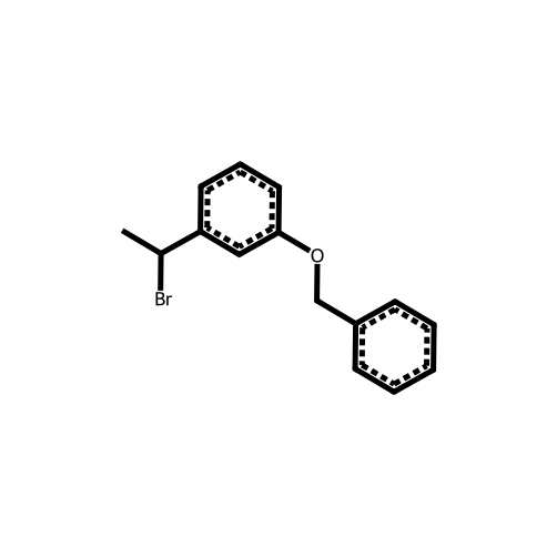 CC(Br)c1cccc(OCc2ccccc2)c1